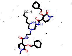 Cn1ccc(C(=O)NCCN(CCNC(=O)c2ccn(C)c(=O)c2OCc2ccccc2)CC(N)CCCC(=O)O)c(OCc2ccccc2)c1=O